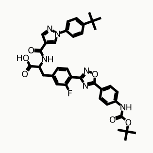 CC(C)(C)OC(=O)Nc1ccc(-c2nc(-c3ccc(CC(NC(=O)c4cnn(-c5ccc(C(C)(C)C)cc5)c4)C(=O)O)cc3F)no2)cc1